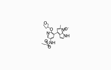 CCS(=O)(=O)Nc1cnc(OC2CCOC2)c(-c2cc(C)[n+]([O-])c3[nH]ccc23)c1